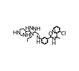 CCCN1C(CNc2cccc(C(=O)N[C@H](C)c3ncccc3Cl)c2)NNC1C1CCNCN1